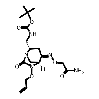 C=CCON1C(=O)N2C[C@H]1/C(=N\OCC(N)=O)C[C@H]2CNC(=O)OC(C)(C)C